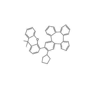 CC1(C)c2ccccc2Oc2c(-c3cc4c(cc3C3CCCC3)-c3ccccc3-c3ccccc3-c3ccccc3-4)cccc21